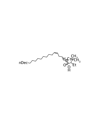 CCCCCCCCCCCCCCCCCCC/C=C\CCCOP(=O)(O)C(CC)[N+](C)(C)C